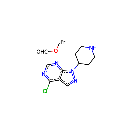 CC(C)OC=O.Clc1ncnc2c1cnn2C1CCNCC1